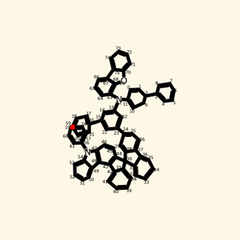 C1=CC(c2ccccc2)CC=C1N(c1cc(-c2ccccc2)cc(-c2ccc3c(c2)C2(c4ccccc4-3)c3ccccc3-c3c2ccc2c3c3ccccc3n2-c2ccccc2)c1)c1cccc2c1oc1ccccc12